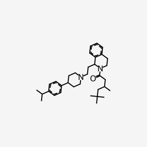 CC(CC(=O)N1CCc2ccccc2C1CCN1CCC(c2ccc(C(C)C)cc2)CC1)CC(C)(C)C